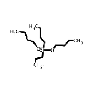 [CH2]CC[Si](CCCC)(OCCCC)OCCCC